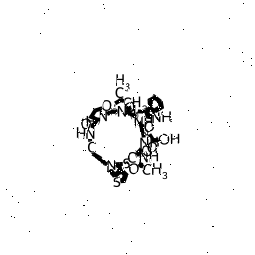 CC(=O)N[C@H]1CSc2c3ccsc3cn2CCCCCNC(=O)[C@@H]2CCCN2C(=O)[C@H](CC(C)C)NC(=O)[C@H](Cc2c[nH]c3ccccc23)NC(=O)[C@H](CC(=O)O)NC1=O